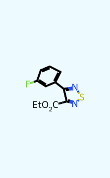 CCOC(=O)c1nsnc1-c1cccc(F)c1